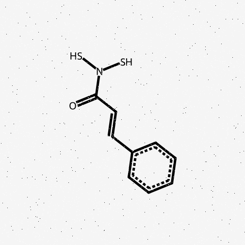 O=C(C=Cc1ccccc1)N(S)S